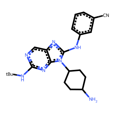 CC(C)(C)Nc1ncc2nc(Nc3cccc(C#N)c3)n(C3CCC(N)CC3)c2n1